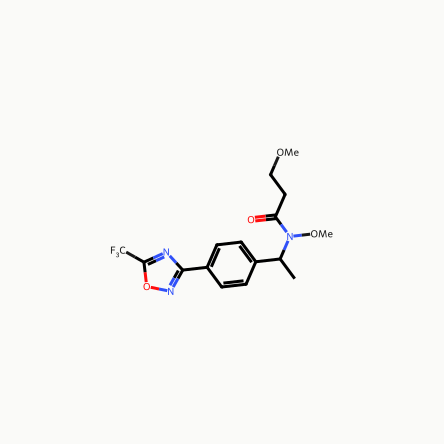 COCCC(=O)N(OC)C(C)c1ccc(-c2noc(C(F)(F)F)n2)cc1